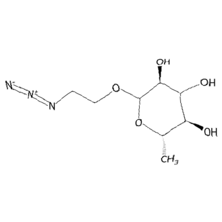 C[C@@H]1OC(OCCN=[N+]=[N-])[C@@H](O)C(O)[C@H]1O